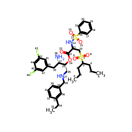 CCCC(CCC)S(=O)(=O)CC(NS(=O)(=O)c1ccccc1)C(=O)O[C@H](CNCc1cccc(CC)c1)[C@@H](N)Cc1cc(F)cc(F)c1